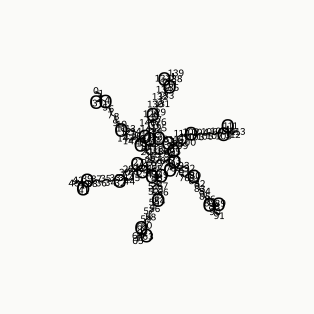 C=CC(=O)OCCCCCCOc1ccc(C(=O)Oc2cc3c4cc(OC(=O)c5ccc(OCCCCCCOC(=O)C=C)cc5)c(OC(=O)c5ccc(OCCCCCCOC(=O)C=C)cc5)cc4c4cc(OC(=O)c5ccc(OCCCCCCOC(=O)C=C)cc5)c(OC(=O)c5ccc(OCCCCCCOC(=O)C=C)cc5)cc4c3cc2OC(=O)c2ccc(OCCCCCCOC(=O)C=C)cc2)cc1